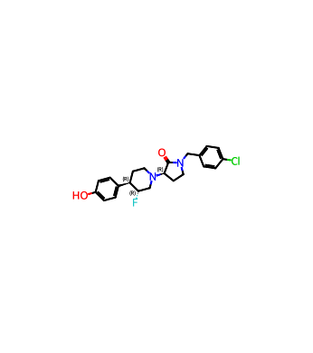 O=C1[C@H](N2CC[C@H](c3ccc(O)cc3)[C@@H](F)C2)CCN1Cc1ccc(Cl)cc1